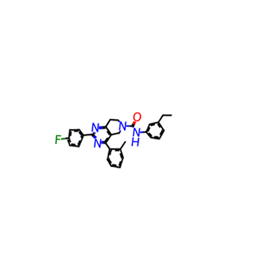 CCc1cccc(NC(=O)N2CCc3nc(-c4ccc(F)cc4)nc(-c4ccccc4C)c3C2)c1